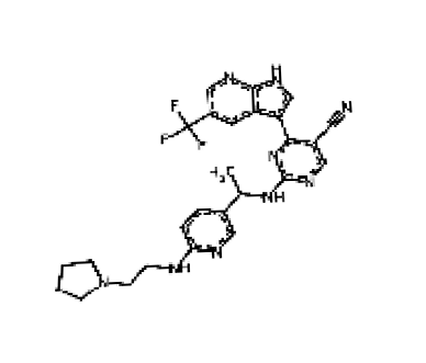 CC(Nc1ncc(C#N)c(-c2c[nH]c3ncc(C(F)(F)F)cc23)n1)c1ccc(NCCN2CCCC2)nc1